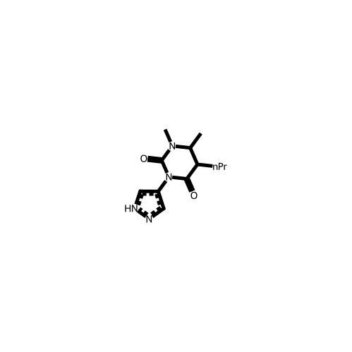 CCCC1C(=O)N(c2cn[nH]c2)C(=O)N(C)C1C